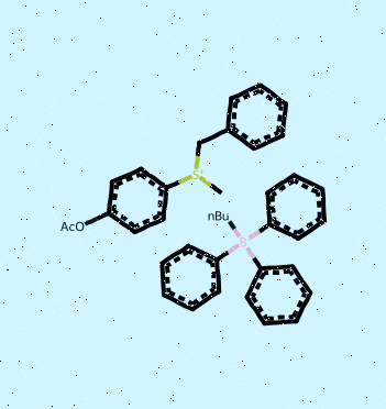 CC(=O)Oc1ccc([S+](C)Cc2ccccc2)cc1.CCCC[B-](c1ccccc1)(c1ccccc1)c1ccccc1